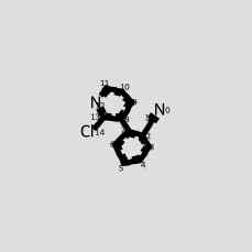 N#Cc1ccccc1-c1cccnc1Cl